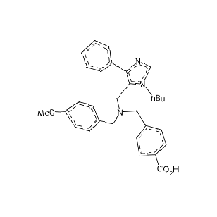 CCCCn1cnc(-c2ccccc2)c1CN(Cc1ccc(OC)cc1)Cc1ccc(C(=O)O)cc1